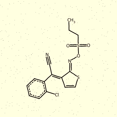 CCCS(=O)(=O)O/N=C1\SC=C\C1=C(\C#N)c1ccccc1Cl